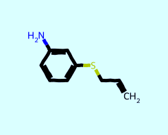 C=CCSc1cccc(N)c1